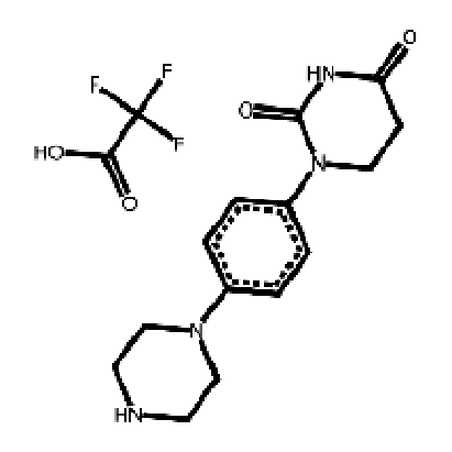 O=C(O)C(F)(F)F.O=C1CCN(c2ccc(N3CCNCC3)cc2)C(=O)N1